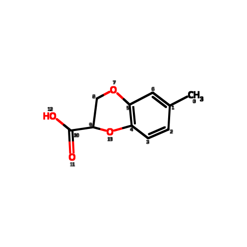 Cc1ccc2c(c1)OCC(C(=O)O)O2